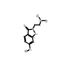 CCOc1ccc2c(=O)n(CCN(CC)CC)sc2c1